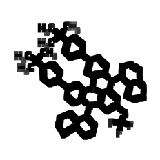 CC(C)(C)c1ccc(-c2ccc3c(c2)B2c4cc(-c5ccc(C(C)(C)C)cc5)ccc4N(c4cccc5ccccc45)c4cc(SC(F)(F)F)cc(c42)N3c2cccc3ccccc23)cc1